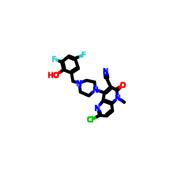 Cn1c(=O)c(C#N)c(N2CCN(Cc3cc(F)cc(F)c3O)CC2)c2nc(Cl)ccc21